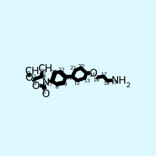 COC1OC(=O)N(c2ccc(C3CCC(OCCCN)CC3)cc2)C1C